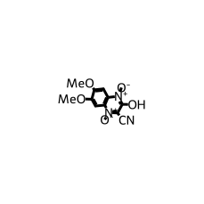 COc1cc2c(cc1OC)[n+]([O-])c(C#N)c(O)[n+]2[O-]